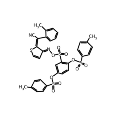 Cc1ccc(S(=O)(=O)Oc2ccc(OS(=O)(=O)c3ccc(C)cc3)c(S(=O)(=O)ON=C3C=CSC3=C(C#N)c3ccccc3C)c2)cc1